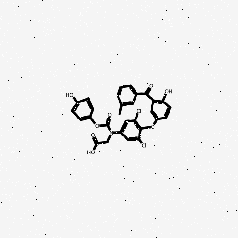 Cc1cccc(C(=O)c2cc(Oc3c(Cl)cc(N(CC(=O)O)C(=O)Oc4ccc(O)cc4)cc3Cl)ccc2O)c1